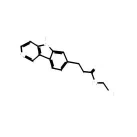 CCNC(=O)CCc1ccc2c(c1)[nH]c1ccncc12